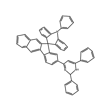 C1=C(c2ccccc2)NC(c2ccccc2)N=C1c1ccc2c(c1)C1(c3cc4ccccc4cc3-2)c2ccccc2N(c2ccccc2)c2ccccc21